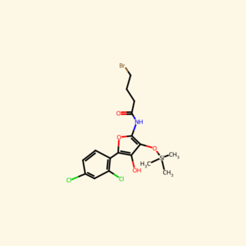 C[Si](C)(C)Oc1c(NC(=O)CCCBr)oc(-c2ccc(Cl)cc2Cl)c1O